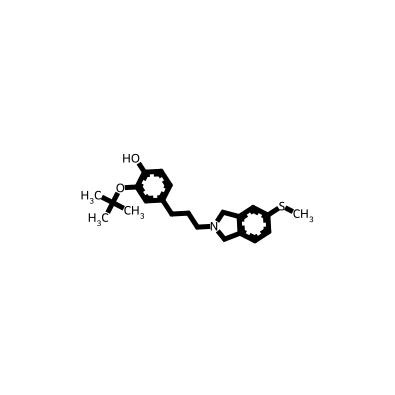 CSc1ccc2c(c1)CN(CCCc1ccc(O)c(OC(C)(C)C)c1)C2